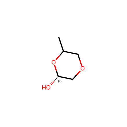 CC1COC[C@H](O)O1